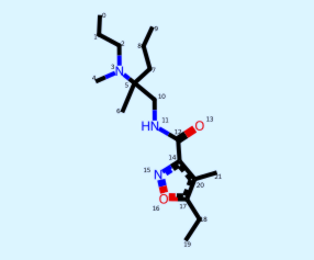 CCCN(C)C(C)(CCC)CNC(=O)c1noc(CC)c1C